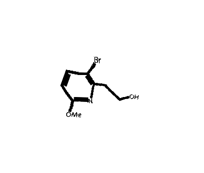 COc1ccc(Br)c(CCO)n1